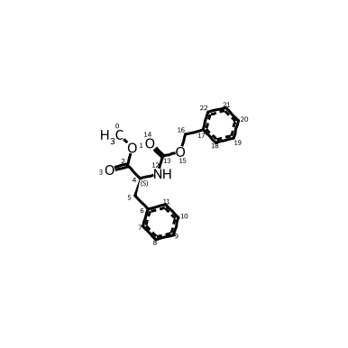 COC(=O)[C@H](Cc1ccccc1)NC(=O)OCc1ccccc1